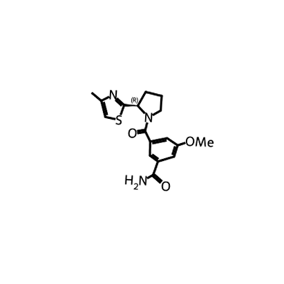 COc1cc(C(N)=O)cc(C(=O)N2CCC[C@@H]2c2nc(C)cs2)c1